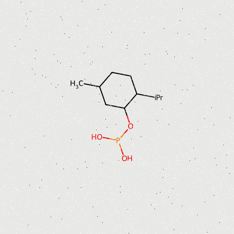 CC1CCC(C(C)C)C(OP(O)O)C1